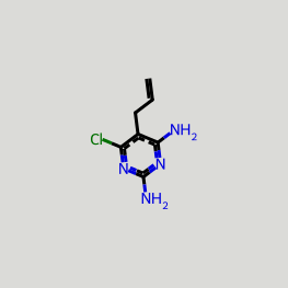 C=CCc1c(N)nc(N)nc1Cl